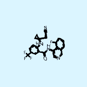 N#CCC1(Nc2ccc(C(F)(F)F)cc2C(=O)Nc2cncc3cccc(F)c23)CC1